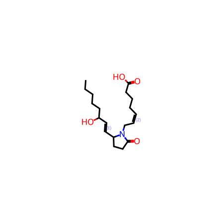 CCCCCC(O)/C=C/C1CCC(=O)N1C/C=C\CCCC(=O)O